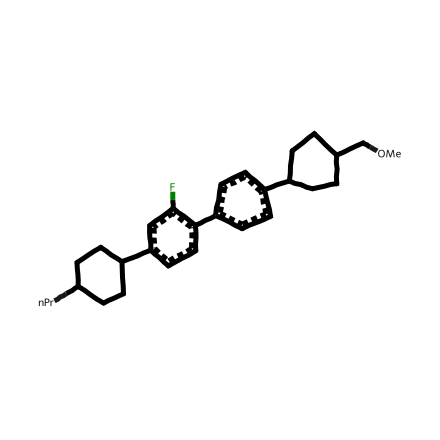 CCCC1CCC(c2ccc(-c3ccc(C4CCC(COC)CC4)cc3)c(F)c2)CC1